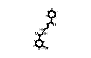 O=C(/C=C/NNC(=O)c1cccc(Br)c1)c1ccccc1